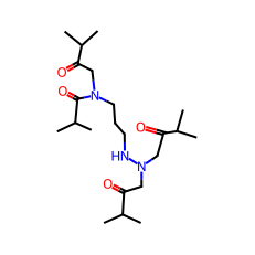 CC(C)C(=O)CN(CC(=O)C(C)C)NCCCN(CC(=O)C(C)C)C(=O)C(C)C